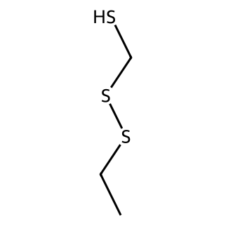 CCSSCS